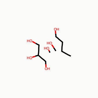 CCCCO.CO.CO.OCC(O)CO